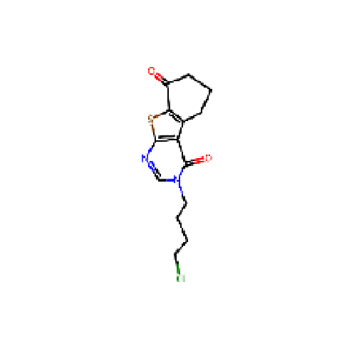 O=C1CCCc2c1sc1ncn(CCCCCl)c(=O)c21